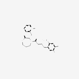 N[C@@H](CC(=O)N1CCCNC(=O)[C@H]1Cc1cccc[n+]1[O-])Cc1cc(F)c(F)cc1F